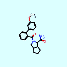 COc1cccc(-c2ccccc2C(=O)N2CC3CCCC3C2C(N)=O)c1